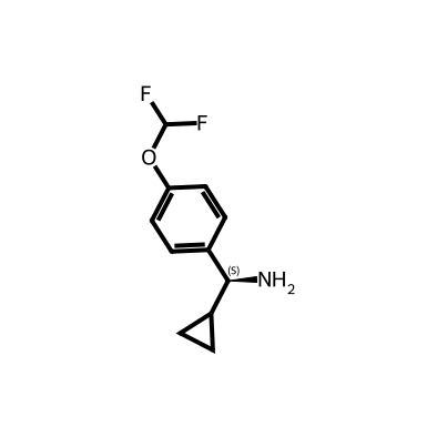 N[C@H](c1ccc(OC(F)F)cc1)C1CC1